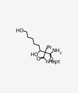 CCCCCCCC(=O)C(C(N)=O)(C(C)C)C(O)CCCCCO